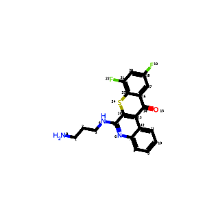 NCCCNc1nc2ccccc2c2c(=O)c3cc(F)cc(F)c3sc12